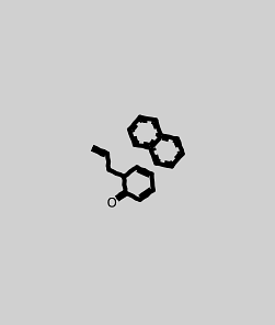 C=CCC1C=CC=CC1=O.c1ccc2ccccc2c1